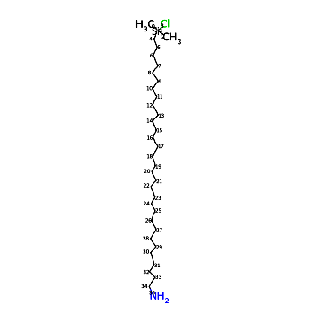 C[Si](C)(Cl)CCCCCCCCCCCCCCCCCCCCCCCCCCCCCCCN